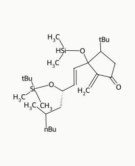 C=C1C(=O)CC(C(C)(C)C)C1(C=C[C@H](CC(C)CCCC)O[Si](C)(C)C(C)(C)C)O[SiH](C)C